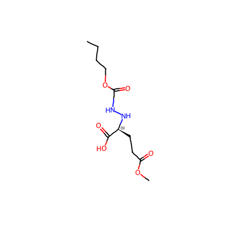 CCCCOC(=O)NN[C@@H](CCC(=O)OC)C(=O)O